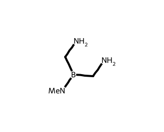 CNB(CN)CN